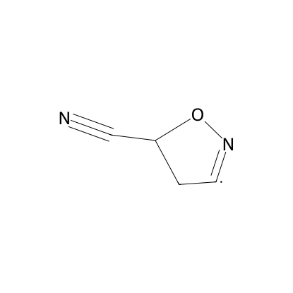 N#CC1C[C]=NO1